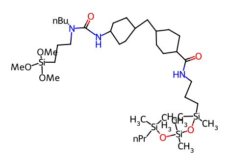 CCCCN(CCC[Si](OC)(OC)OC)C(=O)NC1CCC(CC2CCC(C(=O)NCCC[Si](C)(C)O[Si](C)(C)O[Si](C)(C)CCC)CC2)CC1